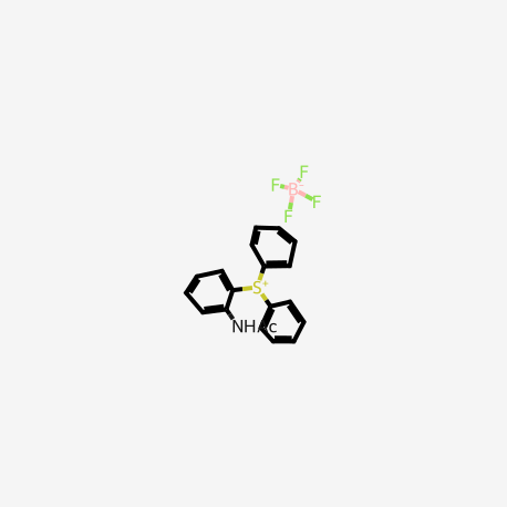 CC(=O)Nc1ccccc1[S+](c1ccccc1)c1ccccc1.F[B-](F)(F)F